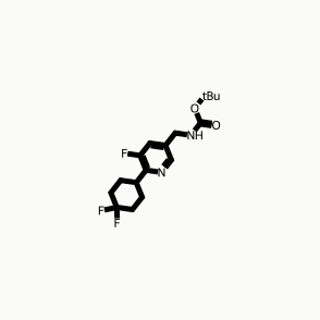 CC(C)(C)OC(=O)NCc1cnc(C2CCC(F)(F)CC2)c(F)c1